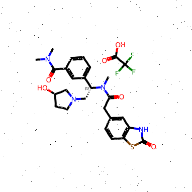 CN(C)C(=O)c1cccc([C@@H](CN2CCC(O)C2)N(C)C(=O)Cc2ccc3sc(=O)[nH]c3c2)c1.O=C(O)C(F)(F)F